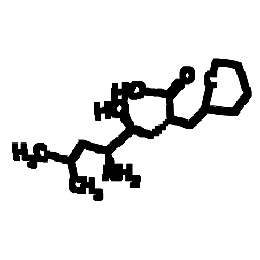 CC(C)C[C@H](N)[C@@H](O)C[C@@H](CC1CCCCC1)C(=O)O